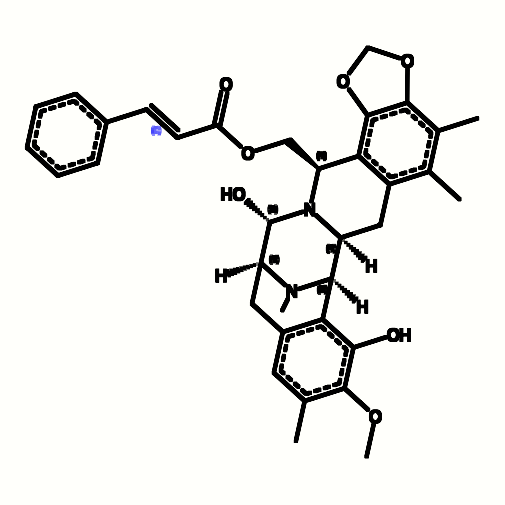 COc1c(C)cc2c(c1O)[C@@H]1[C@@H]3Cc4c(C)c(C)c5c(c4[C@H](COC(=O)/C=C/c4ccccc4)N3[C@@H](O)[C@H](C2)N1C)OCO5